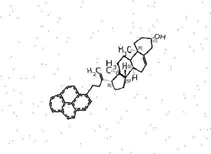 C=C(CCc1ccc2ccc3cccc4ccc1c2c34)[C@H]1CC[C@H]2[C@@H]3CC=C4C[C@@H](O)CC[C@]4(C)C3CC[C@]12C